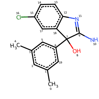 Cc1cc(C)cc(C2(O)C(N)=Nc3ccc(Cl)cc32)c1